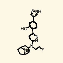 Oc1cc(-c2cn[nH]c2)ccc1-c1ccc(N(CCF)C2CC3CCC(C2)N3)nn1